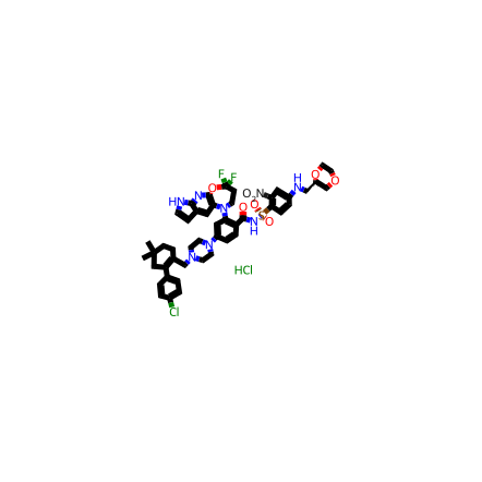 CC1(C)CCC(CN2CCN(c3ccc(C(=O)NS(=O)(=O)c4ccc(NC[C@@H]5COCCO5)cc4[N+](=O)[O-])c(N4CCC(F)(F)Oc5nc6[nH]ccc6cc54)c3)CC2)=C(c2ccc(Cl)cc2)C1.Cl